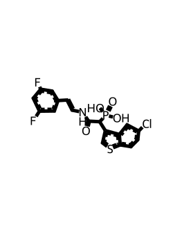 O=C(N/C=C/c1cc(F)cc(F)c1)C(c1csc2ccc(Cl)cc12)P(=O)(O)O